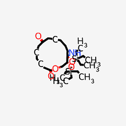 CC[Si](CC)(CC)OC1COC(=O)CCCCCC(=O)CCCCC2NC21O[Si](CC)(CC)CC